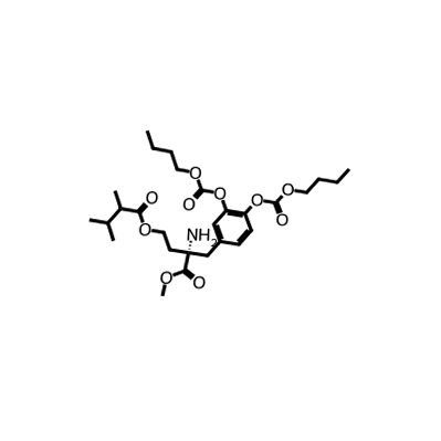 CCCCOC(=O)Oc1ccc(C[C@](N)(CCOC(=O)C(C)C(C)C)C(=O)OC)cc1OC(=O)OCCCC